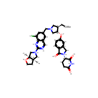 COC[C@@H]1CN(Cc2cc(F)c3nc(N4C[C@H]5CCO[C@H]5C4)ncc3c2)C[C@H]1Oc1ccc2c(c1)CN([C@H]1CCC(=O)NC1=O)C2=O